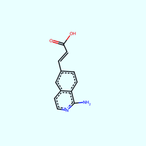 Nc1nccc2cc(C=CC(=O)O)ccc12